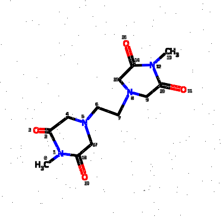 CN1C(=O)CN(CCN2CC(=O)N(C)C(=O)C2)CC1=O